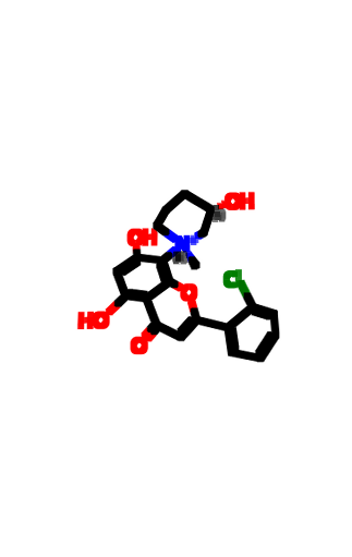 C[N@@+]1(c2c(O)cc(O)c3c(=O)cc(-c4ccccc4Cl)oc23)CCC[C@H](O)C1